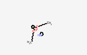 C1=CCNC=C1.CCCCCCCCOC(=O)c1ccccc1C(=O)OCCCCCCCC